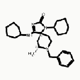 C[C@@H]1C[C@@]2(CCN1Cc1ccccc1)C(NC1CCCCC1)=NC(=O)N2C1CCCCC1